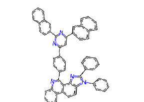 c1ccc(-c2nc3c4c(-c5ccc(-c6cc(-c7ccc8ccccc8c7)nc(-c7ccc8ccccc8c7)n6)cc5)nc5ccccc5c4ccc3n2-c2ccccc2)cc1